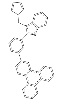 C1=CC(Cn2c(-c3cccc(-c4ccc5c6ccccc6c6ccccc6c5c4)c3)nc3ccccc32)C=C1